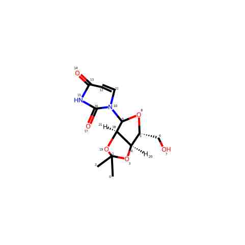 CC1(C)O[C@@H]2[C@@H](CO)OC(n3ccc(=O)[nH]c3=O)[C@@H]2O1